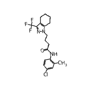 Cc1cc(Cl)ccc1NC(=O)CCCn1nc(C(F)(F)F)c2c1CCCC2